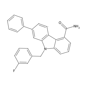 NC(=O)c1cccc2c1c1[c]cc(-c3ccccc3)cc1n2Cc1cccc(F)c1